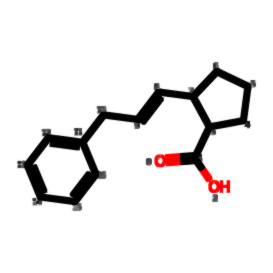 O=C(O)C1CCCC1C=CCc1ccccc1